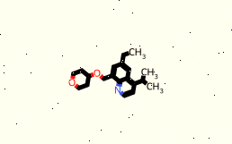 CCc1cc(COC2CCOCC2)c2nccc(C(C)C)c2c1